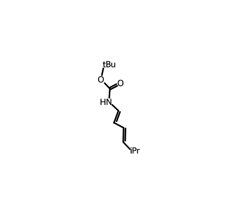 CC(C)/C=C/C=C/NC(=O)OC(C)(C)C